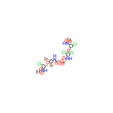 CCS(=O)(=O)Nc1cc(Cl)cc(COc2c(Cl)cc(NC(=O)CC(=O)OC(=O)CC(=O)Nc3cc(Br)c(OCc4cc(Cl)cc(NS(=O)(=O)CC)c4)c(Br)c3)cc2Cl)c1